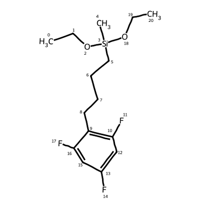 CCO[Si](C)(CCCCc1c(F)cc(F)cc1F)OCC